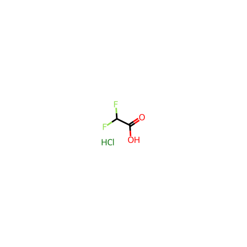 Cl.O=C(O)C(F)F